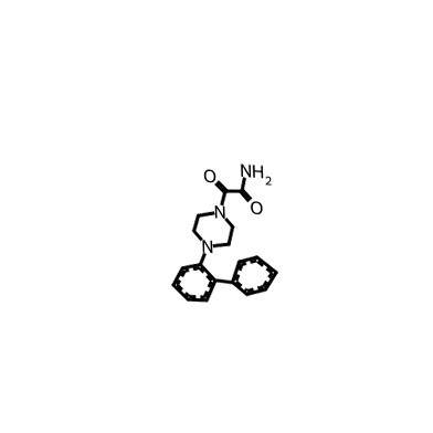 NC(=O)C(=O)N1CCN(c2ccccc2-c2ccccc2)CC1